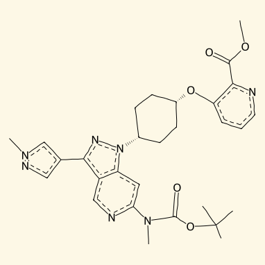 COC(=O)c1ncccc1O[C@H]1CC[C@@H](n2nc(-c3cnn(C)c3)c3cnc(N(C)C(=O)OC(C)(C)C)cc32)CC1